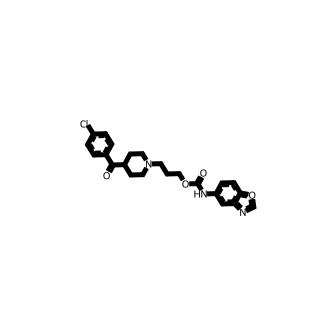 O=C(Nc1ccc2ocnc2c1)OCCCN1CCC(C(=O)c2ccc(Cl)cc2)CC1